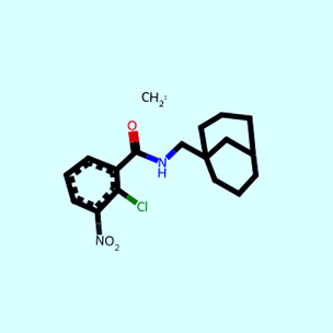 O=C(NCC12CCCC(CCC1)C2)c1cccc([N+](=O)[O-])c1Cl.[CH2]